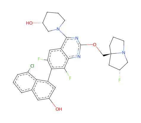 Oc1cc(-c2c(F)cc3c(N4CCC[C@@H](O)C4)nc(OC[C@@]45CCCN4C[C@H](F)C5)nc3c2F)c2c(Cl)cccc2c1